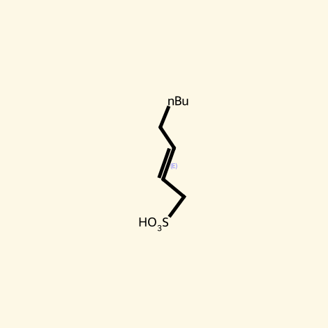 CCCCC/C=C/CS(=O)(=O)O